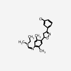 CCN(C)/C=N\c1cc(C)c(C2CC(c3cccc(Cl)c3)=NO2)cc1C